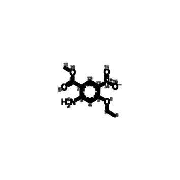 CCOc1cc(N)c(C(=O)OC)cc1[N+](=O)[O-]